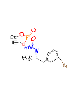 CCOP(=O)(OCC)ONN=C(C)Cc1cccc(Br)c1